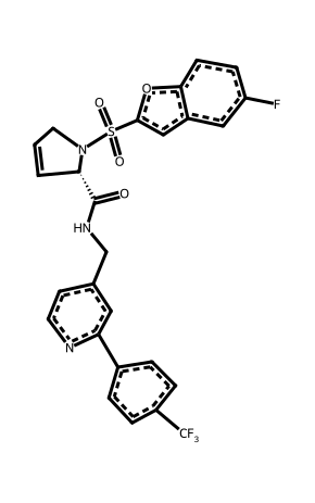 O=C(NCc1ccnc(-c2ccc(C(F)(F)F)cc2)c1)[C@@H]1C=CCN1S(=O)(=O)c1cc2cc(F)ccc2o1